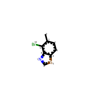 Cc1ccc2scnc2c1Br